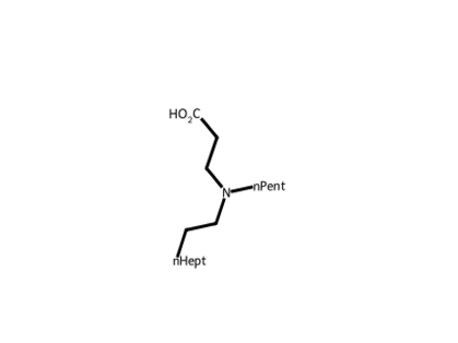 CCCCCCCCCN(CCCCC)CCC(=O)O